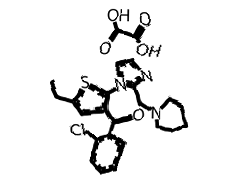 CCc1cc(C(=O)c2ccccc2Cl)c(-n2ccnc2CN2CCCCC2)s1.O=C(O)C(=O)O